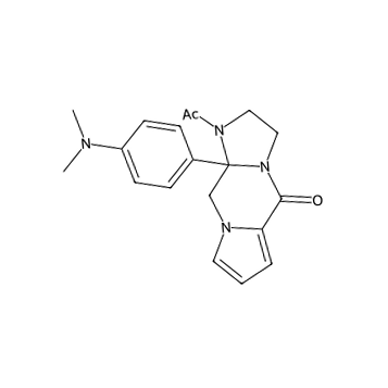 CC(=O)N1CCN2C(=O)c3cccn3CC12c1ccc(N(C)C)cc1